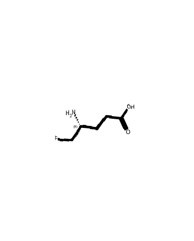 N[C@@H](CF)CCC(=O)O